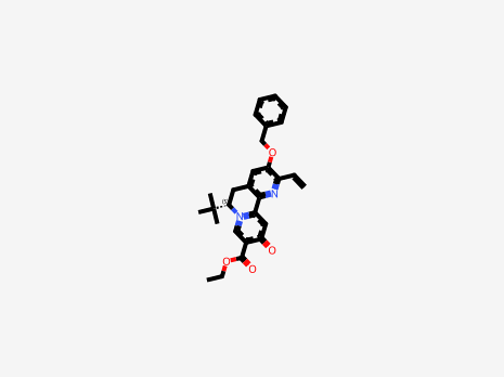 C=Cc1nc2c(cc1OCc1ccccc1)C[C@@H](C(C)(C)C)n1cc(C(=O)OCC)c(=O)cc1-2